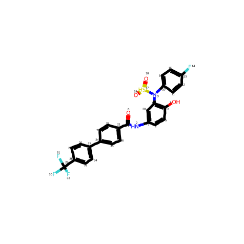 O=C(Nc1ccc(O)c(N(c2ccc(F)cc2)[SH](=O)=O)c1)c1ccc(-c2ccc(C(F)(F)F)cc2)cc1